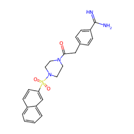 N=C(N)c1ccc(CC(=O)N2CCN(S(=O)(=O)c3ccc4ccccc4c3)CC2)cc1